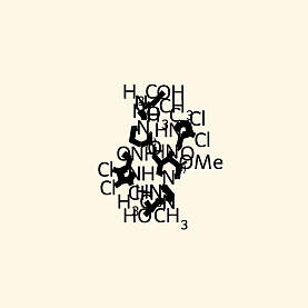 CO[C@H]1CN(c2cnc(C(C)(C)O)[nH]2)CC(CO[C@H]2CN(c3nnc(C(C)(C)O)o3)CCC2NC(=O)c2[nH]c(C)c(Cl)c2Cl)C1NC(=O)c1[nH]c(C)c(Cl)c1Cl